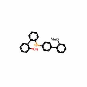 COc1ccccc1-c1ccc(Pc2ccccc2-c2ccccc2O)cc1